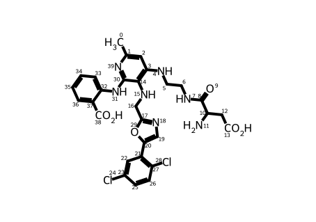 Cc1cc(NCCNC(=O)C(N)CC(=O)O)c(NCc2ncc(-c3cc(Cl)ccc3Cl)o2)c(Nc2ccccc2C(=O)O)n1